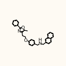 Cc1oc(-c2ccccc2)nc1CCOc1ccc(CNCc2ccc3ccccc3c2)cc1